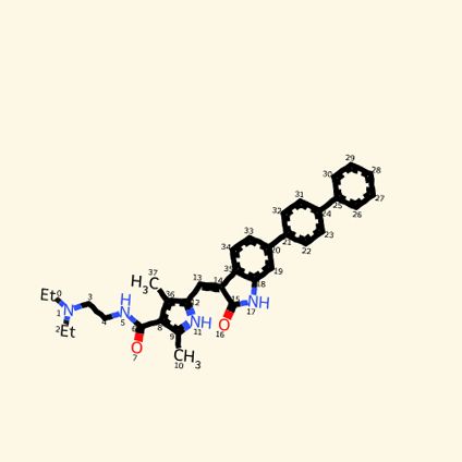 CCN(CC)CCNC(=O)c1c(C)[nH]c(/C=C2\C(=O)Nc3cc(-c4ccc(-c5ccccc5)cc4)ccc32)c1C